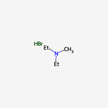 Br.CCN(C)CC